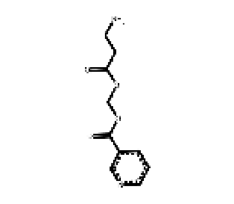 NCCC(=O)OCOC(=O)c1cccnc1